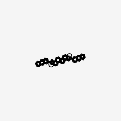 c1ccc2cc3cc(-c4cc5c(ccc6c5ccc5c7ccc8oc(-c9ccc%10cc%11ccccc%11cc%10c9)cc8c7ccc65)o4)ccc3cc2c1